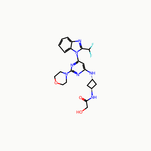 O=C(CO)N[C@H]1C[C@H](Nc2cc(-n3c(C(F)F)nc4ccccc43)nc(N3CCOCC3)n2)C1